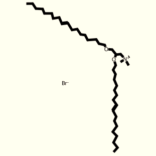 CCCCCCCCC=CCCCCCCCCOCC(C[N+](C)(C)C)OCCCCCCCCC=CCCCCCCCC.[Br-]